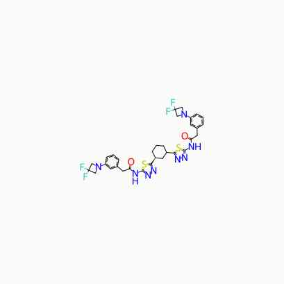 O=C(Cc1cccc(N2CC(F)(F)C2)c1)Nc1nnc(C2CCC[C@H](c3nnc(NC(=O)Cc4cccc(N5CC(F)(F)C5)c4)s3)C2)s1